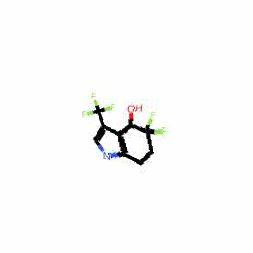 OC1C2=C(CCC1(F)F)[N]C=C2C(F)(F)F